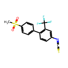 CS(=O)(=O)c1ccc(-c2ccc(N=C=S)cc2C(F)(F)F)cc1